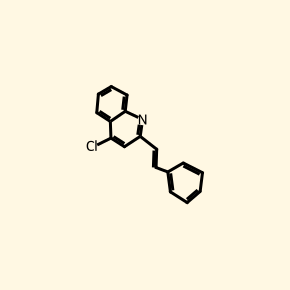 Clc1cc(C=Cc2ccccc2)nc2ccccc12